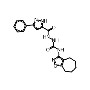 O=C(NNC(=O)c1cc(-c2ccccc2)n[nH]1)Nc1noc2c1CCCCC2